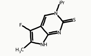 Cc1[nH]c2nc(=S)n(C(C)C)cc2c1F